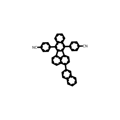 N#Cc1ccc(-c2c3c(c(-c4ccc(C#N)cc4)c4ccccc24)-c2ccc(-c4ccc5ccccc5c4)c4cccc-3c24)cc1